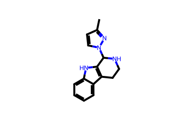 Cc1ccn(C2NCCc3c2[nH]c2ccccc32)n1